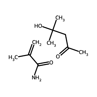 C=C(C)C(N)=O.CC(=O)CC(C)(C)O